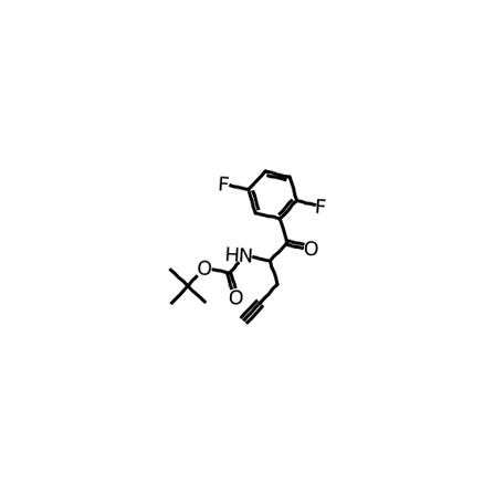 C#CCC(NC(=O)OC(C)(C)C)C(=O)c1cc(F)ccc1F